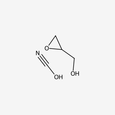 N#CO.OCC1CO1